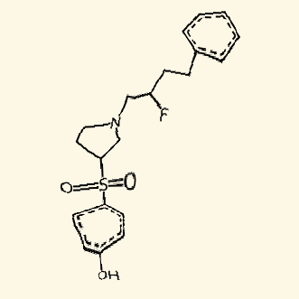 O=S(=O)(c1ccc(O)cc1)C1CCN(CC(F)CCc2ccccc2)C1